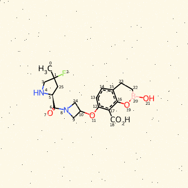 CC1(F)CN[C@H](C(=O)N2CC(Oc3ccc4c(c3C(=O)O)OB(O)CC4)C2)C1